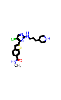 CNC(=O)c1ccc2cc(-c3nc(NCCCC4CCNCC4)ncc3Cl)sc2c1